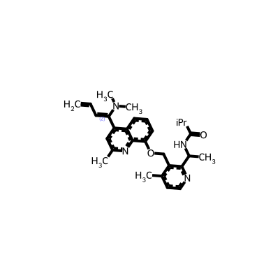 C=C/C=C(/c1cc(C)nc2c(OCc3c(C)ccnc3C(C)NC(=O)C(C)C)cccc12)N(C)C